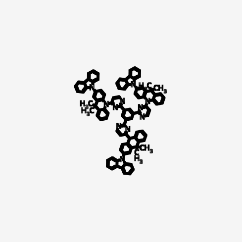 CC1(C)c2ccccc2C(c2ccnc(-c3cc(-c4nccc(N5c6ccccc6C(C)(C)c6cc(-n7c8ccccc8c8ccccc87)ccc65)n4)cc(-c4nccc(N5c6ccccc6C(C)(C)c6cc(-n7c8ccccc8c8ccccc87)ccc65)n4)c3)n2)c2ccc(-n3c4ccccc4c4ccccc43)cc21